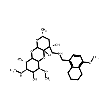 CN[C@@H]1[C@H](O)[C@H](NC)C2O[C@]3(O)C(OC2[C@H]1O)O[C@H](C)C[C@@]3(O)CNCc1ccc(OC)c2c1CCCC2